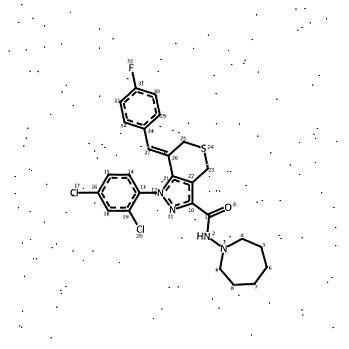 O=C(NN1CCCCCC1)c1nn(-c2ccc(Cl)cc2Cl)c2c1CSCC2=Cc1ccc(F)cc1